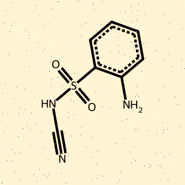 N#CNS(=O)(=O)c1ccccc1N